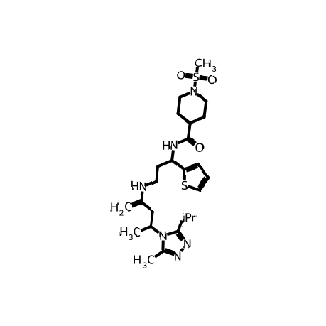 C=C(CC(C)n1c(C)nnc1C(C)C)NCCC(NC(=O)C1CCN(S(C)(=O)=O)CC1)c1cccs1